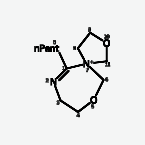 CCCCCC1=NCCOC[N+]12CCOC2